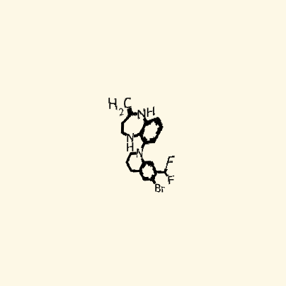 C=C1CCNc2c(cccc2N2CCCc3cc(Br)c(C(F)F)cc32)N1